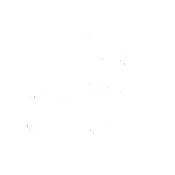 COc1cc2nccc(Oc3ccc(C)nc3-c3ccccc3C)c2cc1OC